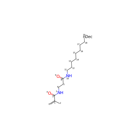 C=C(C)C(=O)NCCC(=O)NCCCCCCCCCCCCCCCCCC